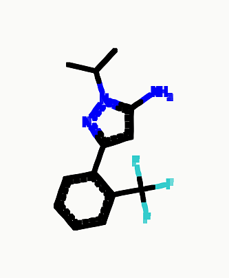 CC(C)n1nc(-c2ccccc2C(F)(F)F)cc1N